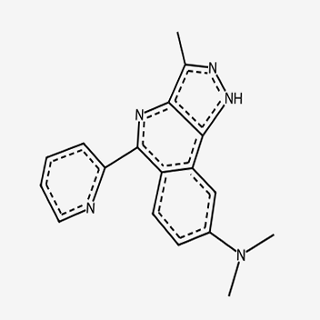 Cc1n[nH]c2c1nc(-c1ccccn1)c1ccc(N(C)C)cc12